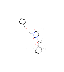 Cc1cn([C@@H]2OC34[C@H](C)C=CC[C@@H]3O[C@@H]2[C@@H]4C)c(=O)n(COCc2ccccc2)c1=O